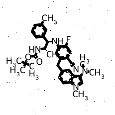 Cc1cccc([C@@H](Nc2cc(Cc3ccc4c(c3)c(N(C)C)cn4C)c(C#N)cc2F)[C@H](C)NC(=O)OC(C)(C)C)c1